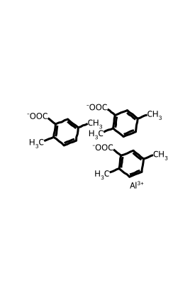 Cc1ccc(C)c(C(=O)[O-])c1.Cc1ccc(C)c(C(=O)[O-])c1.Cc1ccc(C)c(C(=O)[O-])c1.[Al+3]